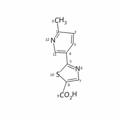 Cc1ccc(-c2ncc(C(=O)O)s2)cn1